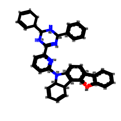 C1=CCC(C2NC(c3cccc(N4c5ccc6c(oc7ccccc76)c5C5C=CC=CC54)n3)=NC(c3ccccc3)N2)C=C1